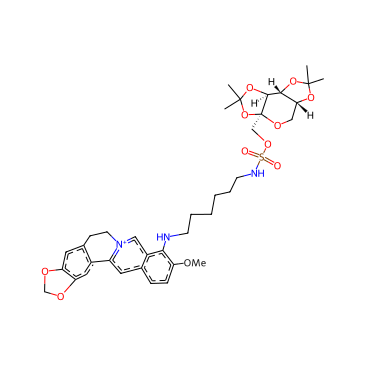 COc1ccc2cc3[n+](cc2c1NCCCCCCNS(=O)(=O)OC[C@@]12OC[C@H]4OC(C)(C)O[C@H]4[C@@H]1OC(C)(C)O2)CCc1cc2c(cc1-3)OCO2